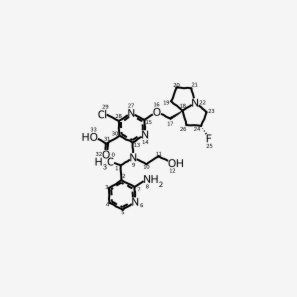 CC(c1cccnc1N)N(CCO)c1nc(OC[C@@]23CCCN2C[C@H](F)C3)nc(Cl)c1C(=O)O